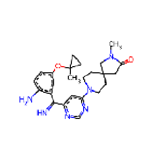 CN1CC2(CCN(c3cc(C(=N)c4cc(OC5(C)CC5)ccc4N)ncn3)CC2)CC1=O